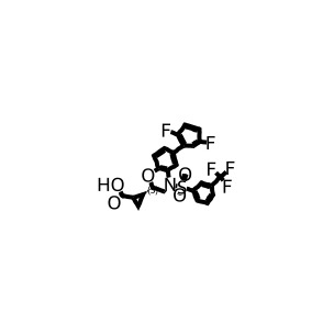 O=C(O)C1CC1[C@H]1CN(S(=O)(=O)c2cccc(C(F)(F)F)c2)c2cc(-c3cc(F)ccc3F)ccc2O1